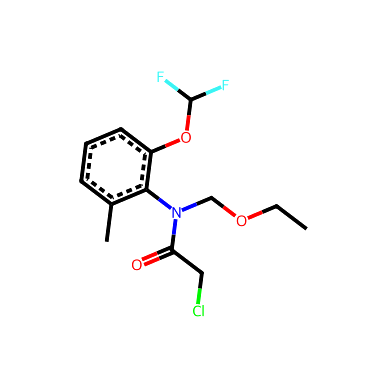 CCOCN(C(=O)CCl)c1c(C)cccc1OC(F)F